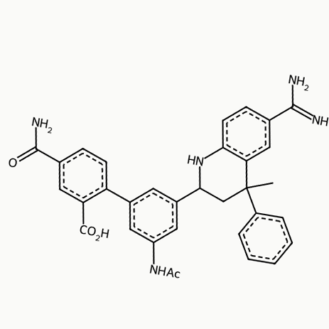 CC(=O)Nc1cc(-c2ccc(C(N)=O)cc2C(=O)O)cc(C2CC(C)(c3ccccc3)c3cc(C(=N)N)ccc3N2)c1